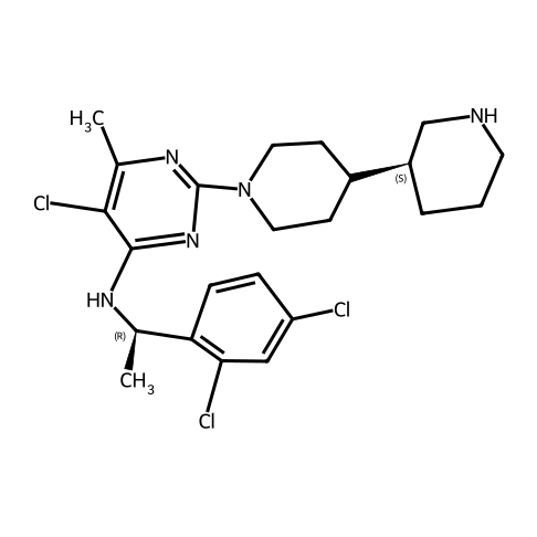 Cc1nc(N2CCC([C@@H]3CCCNC3)CC2)nc(N[C@H](C)c2ccc(Cl)cc2Cl)c1Cl